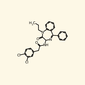 CCCN1C(=O)C(NC(=O)Cc2ccc(Cl)c(Cl)c2)N=C(c2ccccc2)c2ccccc21